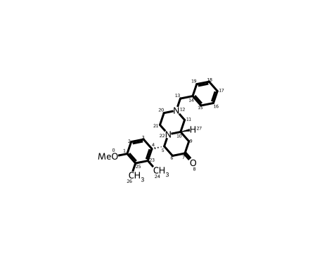 COc1ccc([C@H]2CC(=O)C[C@H]3CN(Cc4ccccc4)CCN32)c(C)c1C